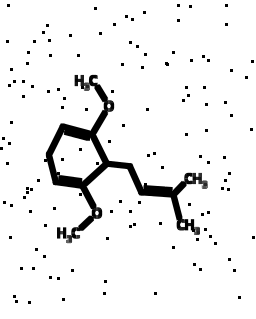 COC1=CCC=C(OC)C1CC=C(C)C